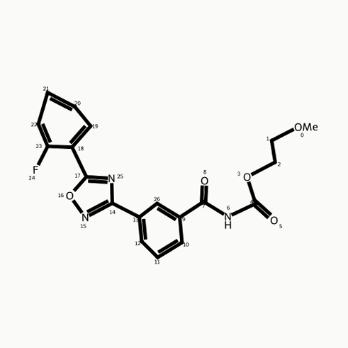 COCCOC(=O)NC(=O)c1cccc(-c2noc(-c3ccccc3F)n2)c1